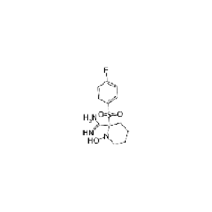 N=C(N)C1(S(=O)(=O)c2ccc(F)cc2)CCCCN1O